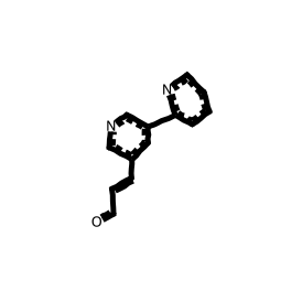 O=CC=Cc1cncc(-c2ccccn2)c1